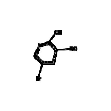 O=Nc1cc(Br)cnc1O